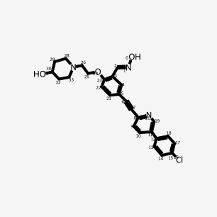 ON=Cc1cc(C#Cc2ccc(-c3ccc(Cl)cc3)cn2)ccc1OCCN1CCC(O)CC1